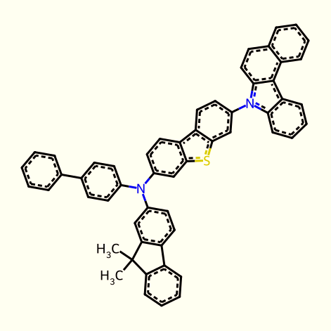 CC1(C)c2ccccc2-c2ccc(N(c3ccc(-c4ccccc4)cc3)c3ccc4c(c3)sc3cc(-n5c6ccccc6c6c7ccccc7ccc65)ccc34)cc21